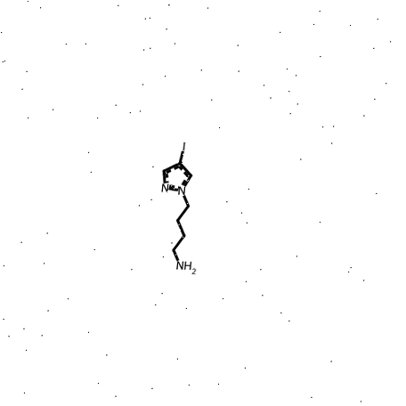 NCCCCn1cc(I)cn1